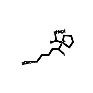 CCCCCCCCCCCCCCC(I)[N+]1(C(I)CCCCCCC)CCCC1